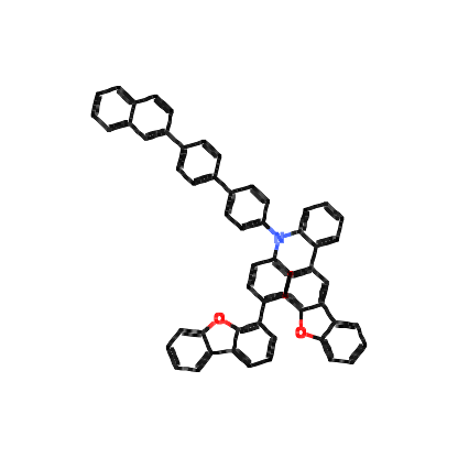 c1ccc(N(c2ccc(-c3ccc(-c4ccc5ccccc5c4)cc3)cc2)c2ccc(-c3cccc4c3oc3ccccc34)cc2)c(-c2ccc3oc4ccccc4c3c2)c1